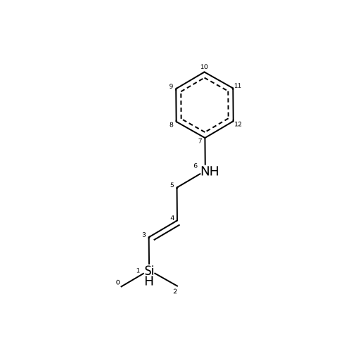 C[SiH](C)C=CCNc1ccccc1